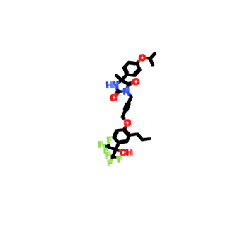 CCCc1cc(C(O)(C(F)(F)F)C(F)(F)F)ccc1OCC#CCN1C(=O)NC(C)(c2ccc(OC(C)C)cc2)C1=O